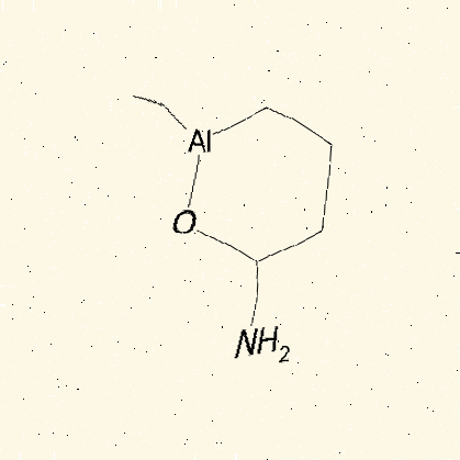 [CH3][Al]1[CH2]CCC(N)[O]1